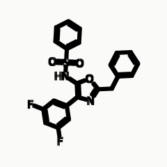 O=S(=O)(Nc1oc(Cc2ccccc2)nc1-c1cc(F)cc(F)c1)c1ccccc1